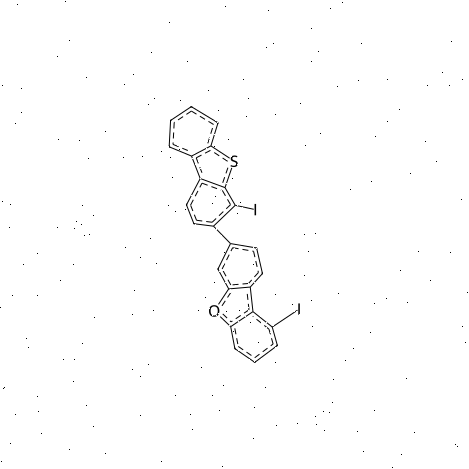 Ic1c(-c2ccc3c(c2)oc2cccc(I)c23)ccc2c1sc1ccccc12